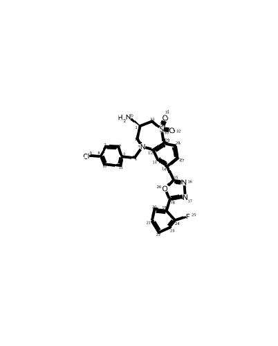 N[C@@H]1CN(Cc2ccc(Cl)cc2)c2cc(-c3nnc(-c4ccccc4F)o3)ccc2S(=O)(=O)C1